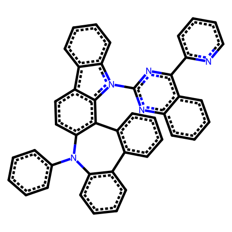 c1ccc(N2c3ccccc3-c3ccccc3-c3c2ccc2c4ccccc4n(-c4nc(-c5ccccn5)c5ccccc5n4)c32)cc1